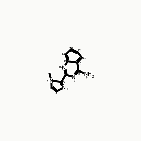 Cn1ccnc1-c1nc(N)c2ccccc2n1